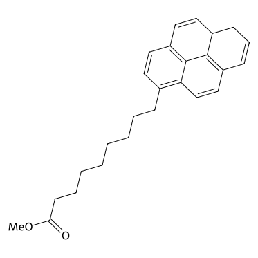 COC(=O)CCCCCCCCc1ccc2c3c4c(ccc13)C=CCC4C=C2